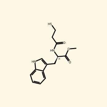 COC(=O)[C@@H](Cc1c[nH]c2ccccc12)NC(=O)CCS